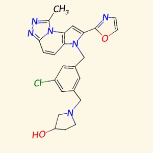 Cc1nnc2ccc3c(cc(-c4ncco4)n3Cc3cc(Cl)cc(CN4CCC(O)C4)c3)n12